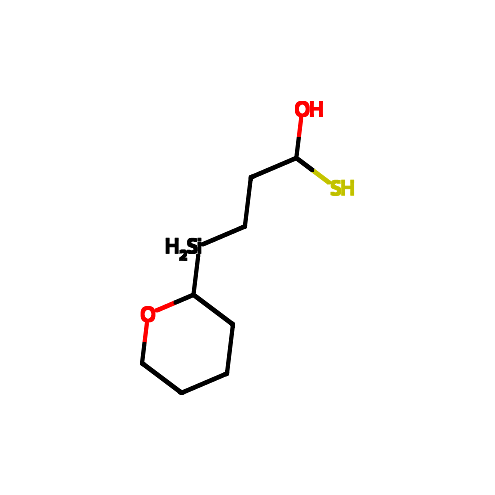 OC(S)CC[SiH2]C1CCCCO1